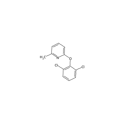 [CH2]c1cccc(Oc2c(Cl)cccc2Cl)n1